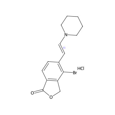 Cl.O=C1OCc2c1ccc(/C=C/N1CCCCC1)c2Br